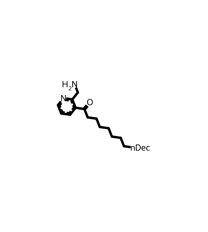 CCCCCCCCCCCCCCCCCC(=O)c1cccnc1CN